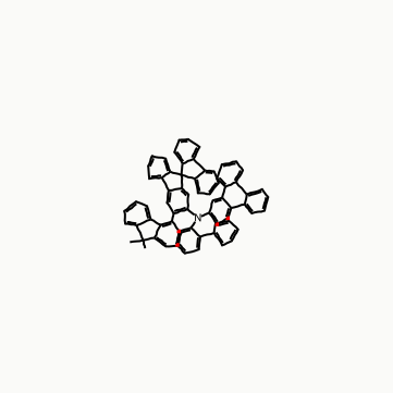 CC1(C)c2ccccc2-c2c(-c3cc4c(cc3N(c3ccc5c6ccccc6c6ccccc6c5c3)c3ccccc3-c3ccccc3)C3(c5ccccc5-c5ccccc53)c3ccccc3-4)cccc21